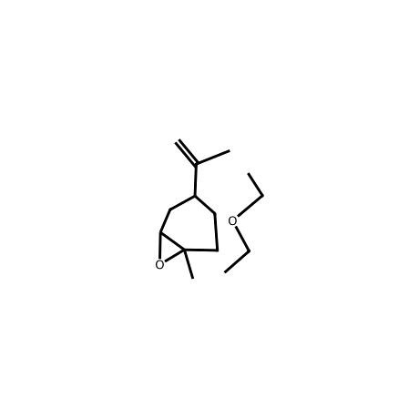 C=C(C)C1CCC2(C)OC2C1.CCOCC